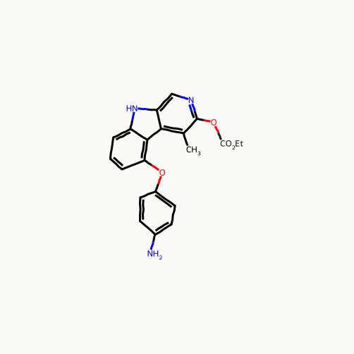 CCOC(=O)Oc1ncc2[nH]c3cccc(Oc4ccc(N)cc4)c3c2c1C